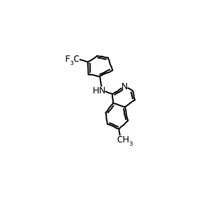 Cc1ccc2c(Nc3cccc(C(F)(F)F)c3)nccc2c1